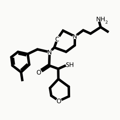 Cc1cccc(CN(C(=O)C(S)C2CCOCC2)C2CCN(CCC(C)N)CC2)c1